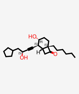 CCCCCC[C@]12CC[C@@H](O)[C@H](C#C[C@@H](O)CC3CCCC3)[C@H]1CC2=O